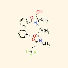 C[C@@H]1CN([C@H](C)CO)C(=O)c2ccccc2-c2ccccc2CO[C@H]1CN(C)C(=O)CCC(F)(F)F